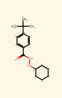 CC(C)(C)c1ccc(C(=O)OO[C]2CCCCC2)cc1